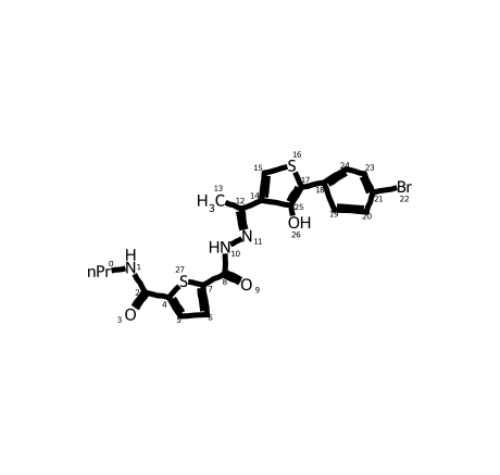 CCCNC(=O)c1ccc(C(=O)NN=C(C)c2csc(-c3ccc(Br)cc3)c2O)s1